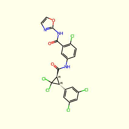 O=C(Nc1ncco1)c1cc(NC(=O)[C@H]2[C@H](c3cc(Cl)cc(Cl)c3)C2(Cl)Cl)ccc1Cl